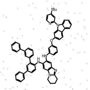 CC(C)(C)c1ccnc(-n2c3ccccc3c3ccc(Oc4cccc(Nc5cc6nc7n(c6cc5Nc5ccc(-c6ccccc6)cc5-c5cccc(-c6ccccc6)c5)CCCC7)c4)cc32)c1